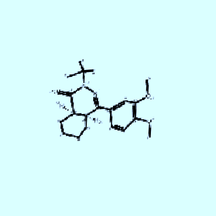 COc1ccc(C2=NN(C(C)(C)C)C(=O)[C@@H]3CCCC[C@H]23)cc1OC